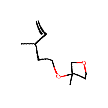 C=CC(C)CCOC1(C)COC1